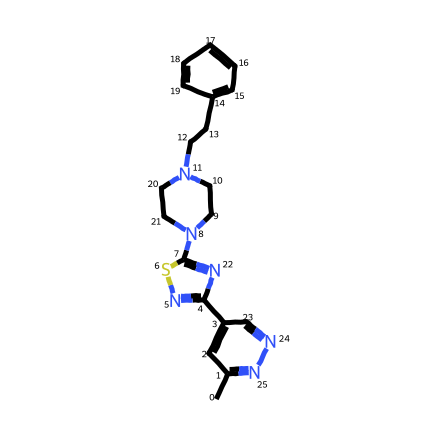 Cc1cc(-c2nsc(N3CCN(CCc4ccccc4)CC3)n2)cnn1